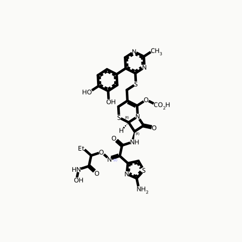 CCC(O/N=C(\C(=O)N[C@@H]1C(=O)N2C(OC(=O)O)=C(CSc3nc(C)ncc3-c3ccc(O)c(O)c3)CS[C@H]12)c1csc(N)n1)C(=O)NO